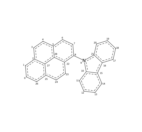 c1cc2ccc3ccc(-n4c5ccccc5c5ccccc54)c4ccc(c1)c2c34